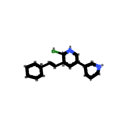 Clc1ncc(-c2cccnc2)cc1C=Cc1ccccc1